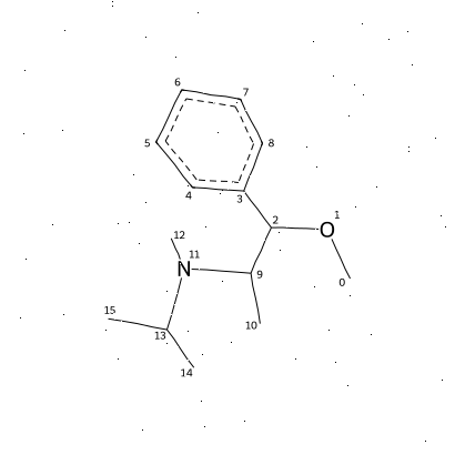 COC(c1ccccc1)C(C)N(C)C(C)C